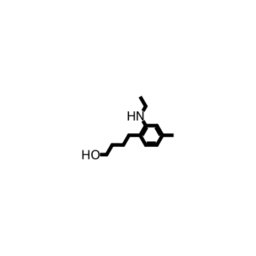 CCNc1cc(C)ccc1CCCCO